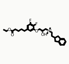 CCOC(=O)CCCCc1cc(F)c(F)c(OC[C@H](O)C[N+](C)(C)CCC2Cc3ccccc3C2)c1